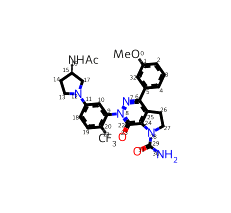 COc1cccc(-c2nn(-c3cc(N4CC[C@@H](NC(C)=O)C4)ccc3C(F)(F)F)c(=O)c3c2CCN3C(N)=O)c1